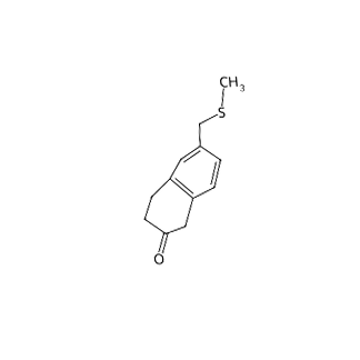 CSCc1ccc2c(c1)CCC(=O)C2